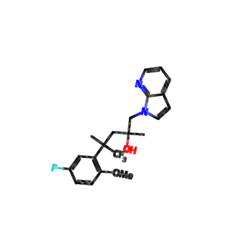 COc1ccc(F)cc1C(C)(CC(C)(O)Cn1ccc2cccnc21)C(F)(F)F